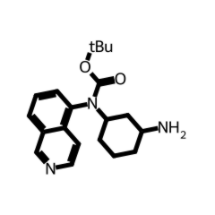 CC(C)(C)OC(=O)N(c1cccc2cnccc12)C1CCCC(N)C1